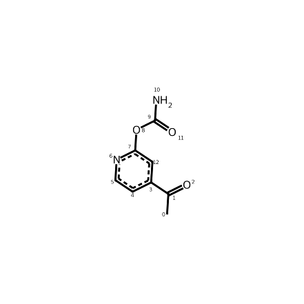 CC(=O)c1ccnc(OC(N)=O)c1